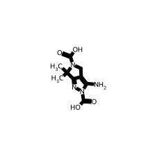 CC1(C)c2nn(C(=O)O)c(N)c2CN1C(=O)O